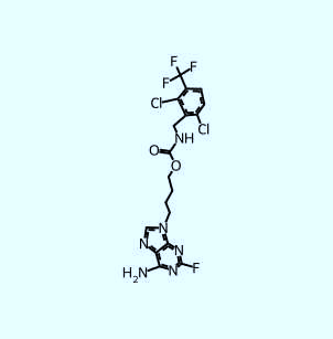 Nc1nc(F)nc2c1ncn2CCCCOC(=O)NCc1c(Cl)ccc(C(F)(F)F)c1Cl